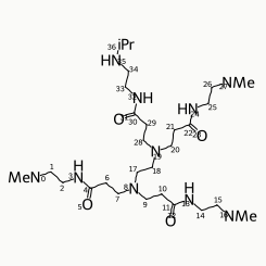 CNCCNC(=O)CCN(CCC(=O)NCCNC)CCN(CCC(=O)NCCNC)CCC(=O)NCCNC(C)C